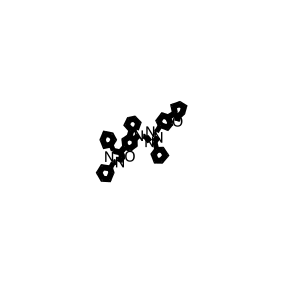 c1ccc(-c2nc(-c3ccc4c(c3)oc3ccccc34)nc(-n3c4ccccc4c4cc5c(cc43)oc3nc(-c4ccccc4)nc(-c4ccccc4)c35)n2)cc1